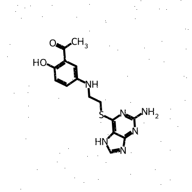 CC(=O)c1cc(NCCSc2nc(N)nc3nc[nH]c23)ccc1O